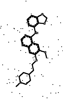 COc1cc2c(Nc3cccc4c3OCO4)ncnc2cc1OCCC1CCN(C)CC1